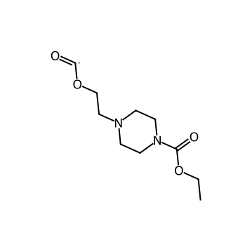 CCOC(=O)N1CCN(CCO[C]=O)CC1